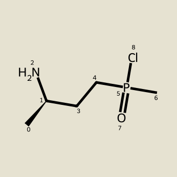 C[C@@H](N)CCP(C)(=O)Cl